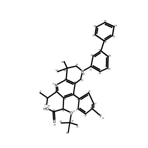 CC(C)c1nc2c(c(-c3ccc(F)cc3)c1C(OC(C)(C)C)C(=O)O)CN(c1cccc(-c3ccccc3)c1)CC2(C)C